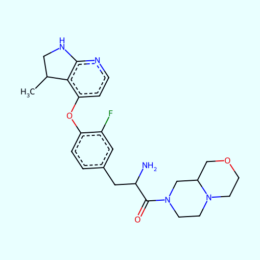 CC1CNc2nccc(Oc3ccc(CC(N)C(=O)N4CCN5CCOCC5C4)cc3F)c21